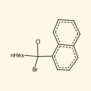 CCCCCCC(Cl)(Br)c1cccc2ccccc12